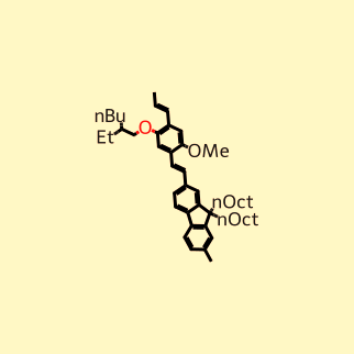 C/C=C/c1cc(OC)c(/C=C/c2ccc3c(c2)C(CCCCCCCC)(CCCCCCCC)c2cc(C)ccc2-3)cc1OCC(CC)CCCC